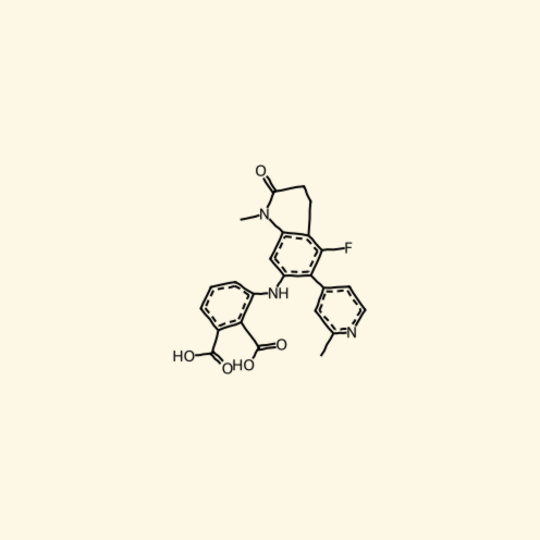 Cc1cc(-c2c(Nc3cccc(C(=O)O)c3C(=O)O)cc3c(c2F)CCC(=O)N3C)ccn1